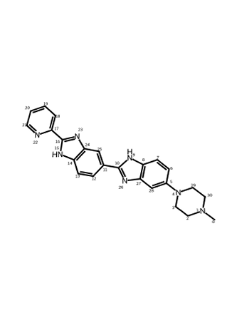 CN1CCN(c2ccc3[nH]c(-c4ccc5[nH]c(-c6ccccn6)nc5c4)nc3c2)CC1